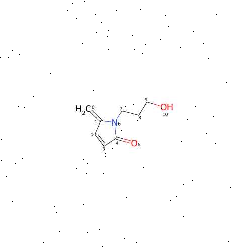 C=C1C=CC(=O)N1CCCO